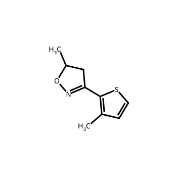 Cc1ccsc1C1=NOC(C)C1